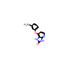 O=c1[nH]c2nccc(Oc3cccc([AsH2])c3)c2[nH]1